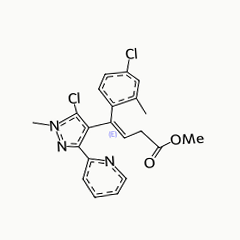 COC(=O)C/C=C(\c1ccc(Cl)cc1C)c1c(-c2ccccn2)nn(C)c1Cl